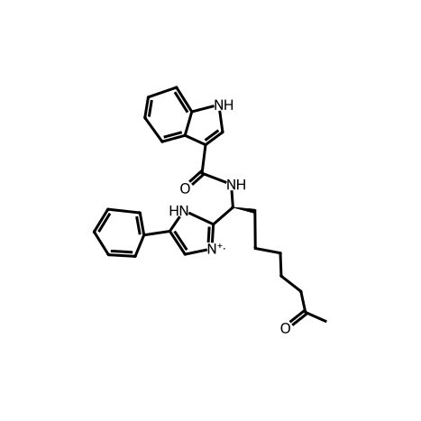 CC(=O)CCCCC[C@H](NC(=O)c1c[nH]c2ccccc12)C1=[N+]C=C(c2ccccc2)N1